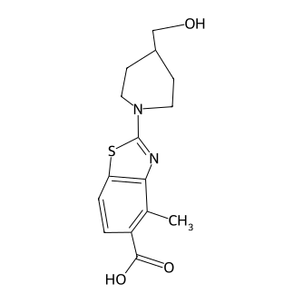 Cc1c(C(=O)O)ccc2sc(N3CCC(CO)CC3)nc12